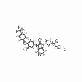 C=CC(=O)N1CC[C@@H](n2c(=O)n(-c3ccc(Oc4ccc(C(F)(F)F)cc4)c(Cl)c3)c3cnccc32)C1